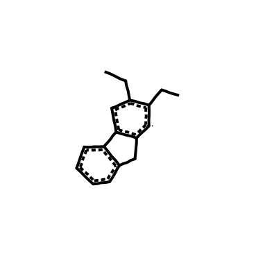 CCc1[c]c2c(cc1CC)-c1ccccc1C2